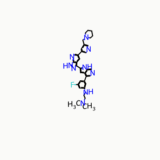 CN(C)CCNc1cc(F)cc(-c2cncc3[nH]c(-c4n[nH]c5ncc(-c6cncc(CN7CCCCC7)c6)cc45)cc23)c1